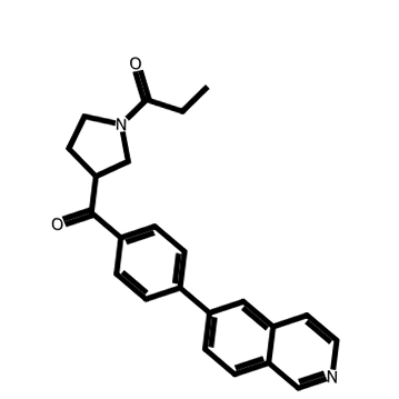 CCC(=O)N1CCC(C(=O)c2ccc(-c3ccc4cnccc4c3)cc2)C1